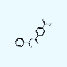 O=C(CC(=O)c1ccc([N+](=O)[O-])cc1)c1ccccc1